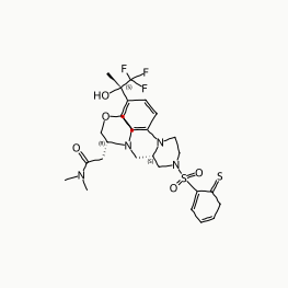 CN(C)C(=O)C[C@@H]1COCCN1C[C@H]1CN(S(=O)(=O)C2=CC=CCC2=S)CCN1c1ccc([C@](C)(O)C(F)(F)F)cc1